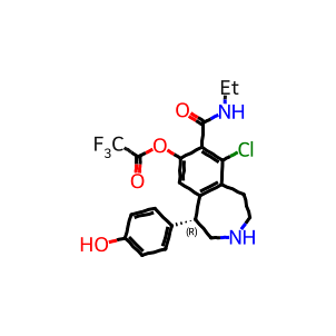 CCNC(=O)c1c(OC(=O)C(F)(F)F)cc2c(c1Cl)CCNC[C@@H]2c1ccc(O)cc1